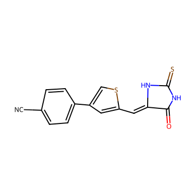 N#Cc1ccc(-c2csc(/C=C3\NC(=S)NC3=O)c2)cc1